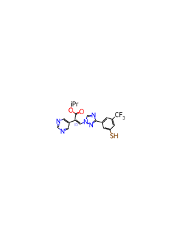 CC(C)OC(=O)/C(=C\n1cnc(-c2cc(S)cc(C(F)(F)F)c2)n1)c1cncnc1